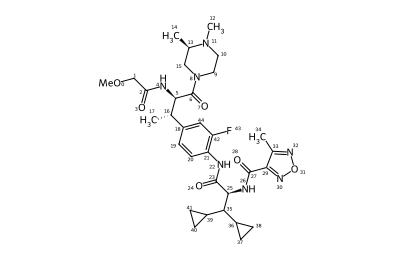 COCC(=O)N[C@@H](C(=O)N1CCN(C)[C@H](C)C1)[C@@H](C)c1ccc(NC(=O)[C@@H](NC(=O)c2nonc2C)C(C2CC2)C2CC2)c(F)c1